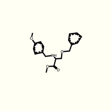 COC(=O)C(COCc1ccccc1)NCc1ccc(OC)cc1